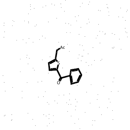 CC(=O)Cc1ccc(C(=O)c2ccccc2)s1